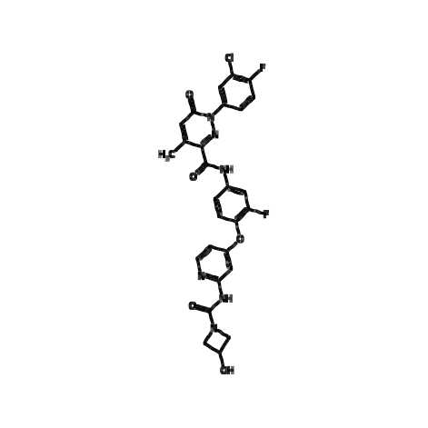 Cc1cc(=O)n(-c2ccc(F)c(Cl)c2)nc1C(=O)Nc1ccc(Oc2ccnc(NC(=O)N3CC(O)C3)c2)c(F)c1